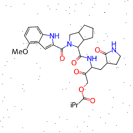 COc1cccc2[nH]c(C(=O)N3CC4CCCC4C3C(=O)NC(CC3CCNC3=O)C(=O)COC(=O)C(C)C)cc12